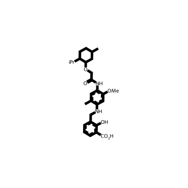 COc1cc(NCc2cccc(C(=O)O)c2O)c(C)cc1NC(=O)COC1CC(C)CCC1C(C)C